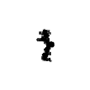 CC(C)(C)c1cc(NC(=O)Nc2ccc(Oc3ccnc(Nc4ccc5onc(N)c5c4)n3)c3ccccc23)n(-c2cccc(P(C)(C)=O)c2)n1